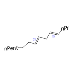 [CH2]CC/C=C/C/C=C/CCCCCCC